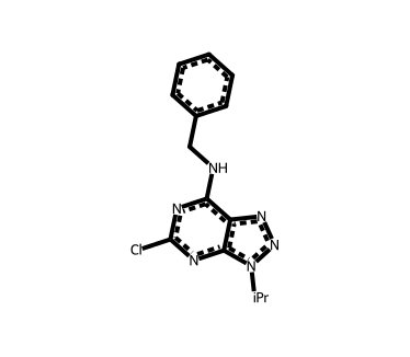 CC(C)n1nnc2c(NCc3ccccc3)nc(Cl)nc21